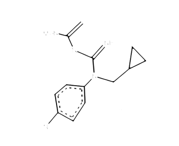 CNC(=O)NC(=N)N(CC1CC1)c1ccc(N)cc1.Cl